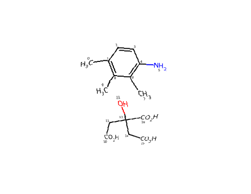 Cc1ccc(N)c(C)c1C.O=C(O)CC(O)(CC(=O)O)C(=O)O